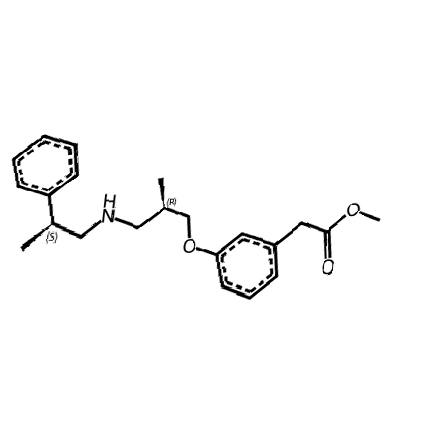 COC(=O)Cc1cccc(OC[C@H](C)CNC[C@@H](C)c2ccccc2)c1